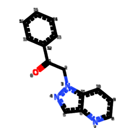 O=C(Cn1ncc2ncccc21)c1ccccc1